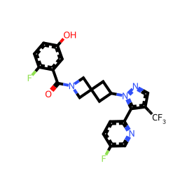 O=C(c1cc(O)ccc1F)N1CC2(CC(n3ncc(C(F)(F)F)c3-c3ccc(F)cn3)C2)C1